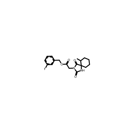 CC1CCCCC12NC(=O)N(CC(=O)OCc1cccc(F)c1)C2=O